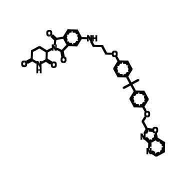 CC(C)(c1ccc(OCCCNc2ccc3c(c2)C(=O)N(C2CCC(=O)NC2=O)C3=O)cc1)c1ccc(OCc2nc3ncccc3o2)cc1